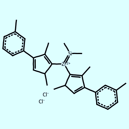 CC1=[C]([Zr+2]([C]2=C(C)C(c3cccc(C)c3)=CC2C)=[Si](C)C)C(C)C=C1c1cccc(C)c1.[Cl-].[Cl-]